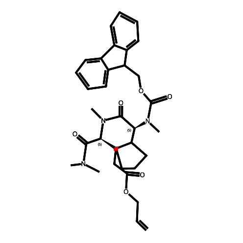 C=CCOC(=O)CC[C@@H](C(=O)N(C)C)N(C)C(=O)[C@H](C1CCCC1)N(C)C(=O)OCC1c2ccccc2-c2ccccc21